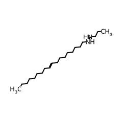 CCCCCCCCC=CCCCCCCCCNNCCC